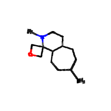 BC1CCC2CCN(C(C)C)C3(COC3)C2CC1